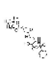 CC(C)(C)OC(=O)NCC(=O)NCC(NS(=O)(=O)c1ccccc1)C(=O)O